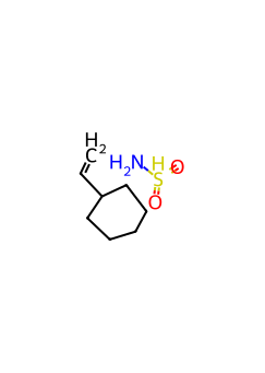 C=CC1CCCCC1.N[SH](=O)=O